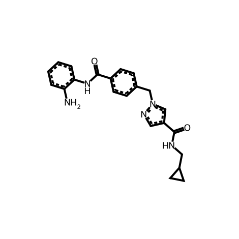 Nc1ccccc1NC(=O)c1ccc(Cn2cc(C(=O)NCC3CC3)cn2)cc1